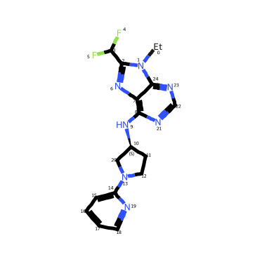 CCn1c(C(F)F)nc2c(N[C@H]3CCN(c4ccccn4)C3)ncnc21